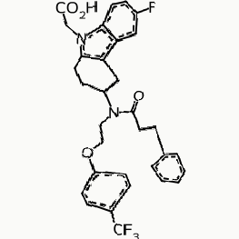 O=C(O)Cn1c2c(c3cc(F)ccc31)CC(N(CCOc1ccc(C(F)(F)F)cc1)C(=O)CCc1ccccc1)CC2